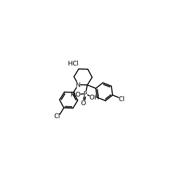 Cl.O=P(O)(O)C1(c2ccc(Cl)cc2)CCCCN1c1ccc(Cl)cc1